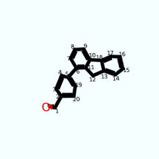 O=Cc1ccc(-c2cccc3c2Cc2ccccc2-3)cc1